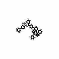 c1ccc(-c2ccc(C3N=C(c4ccc(-c5ccc6c(c5)C5(c7ccccc7-6)c6ccccc6N(c6ccccc6)c6ccccc65)cc4)c4ccccc4N3)cc2)cc1